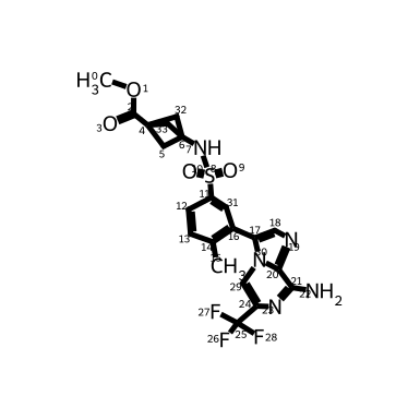 COC(=O)C12CC(NS(=O)(=O)c3ccc(C)c(-c4cnc5c(N)nc(C(F)(F)F)cn45)c3)(C1)C2